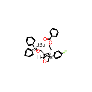 CC(C)(C)[Si](OC[C@@H]1[C@@H]2C[C@@](c3ccc(F)cc3)(CO2)[C@H]1CCOC(=O)c1ccccc1)(c1ccccc1)c1ccccc1